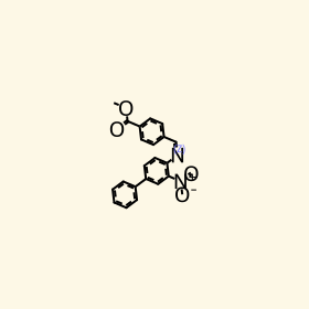 COC(=O)c1ccc(/C=N\c2ccc(-c3ccccc3)cc2[N+](=O)[O-])cc1